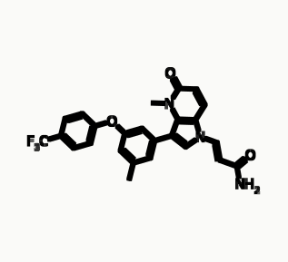 Cc1cc(Oc2ccc(C(F)(F)F)cc2)cc(-c2cn(C=CC(N)=O)c3ccc(=O)n(C)c23)c1